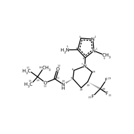 Cn1ncc(N)c1N1C[C@@H](NC(=O)OC(C)(C)C)C[C@@H](C(F)(F)F)C1